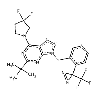 CC(C)(C)c1nc(N2CCC(F)(F)C2)c2nnn(Cc3cnccc3C3(C(F)(F)F)N=N3)c2n1